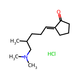 CC(CC/C=C1\CCCC1=O)CN(C)C.Cl